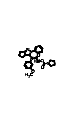 COc1cccc(N(C(=O)NOC(=O)N2CCCC2)c2c3c(nn2-c2ccccc2)CCC3)c1